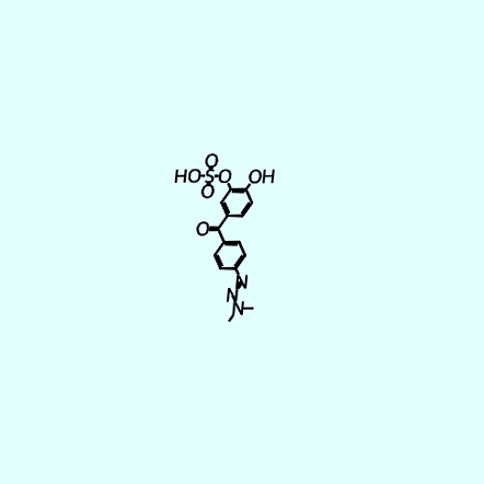 CN(C)N=Nc1ccc(C(=O)c2ccc(O)c(OS(=O)(=O)O)c2)cc1